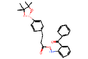 CC1(C)OB(c2ccc(CCC(=O)ONc3ccccc3C(=O)c3ccccc3)cc2)OC1(C)C